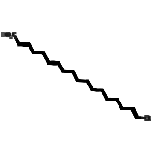 CCC=CCCCCCCCCCC=CCCC=CC(=O)O